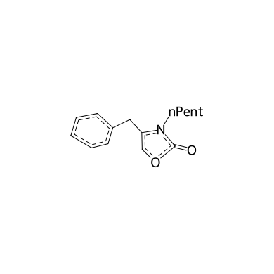 CCCCCn1c(Cc2ccccc2)coc1=O